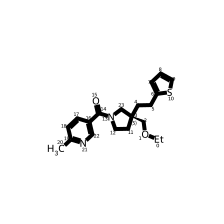 CCOC[C@@]1(CCc2cccs2)CCN(C(=O)c2ccc(C)nc2)C1